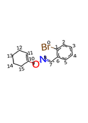 Brc1ccccc1[C]=NOC1=CCCCC1